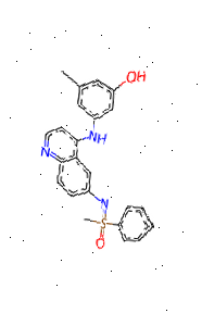 Cc1cc(O)cc(Nc2ccnc3ccc(N=S(C)(=O)c4ccccc4)cc23)c1